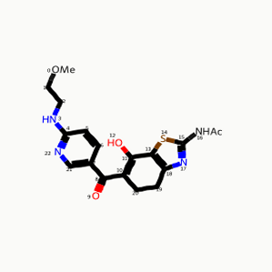 COCCNc1ccc(C(=O)C2=C(O)c3sc(NC(C)=O)nc3CC2)cn1